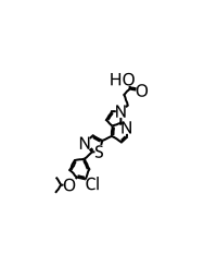 CC(C)Oc1ccc(-c2ncc(-c3ccnc4c3ccn4CCC(=O)O)s2)cc1Cl